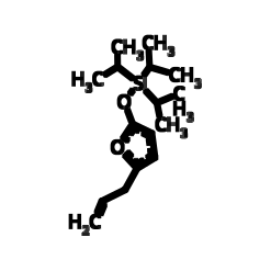 C=CCc1ccc(O[Si](C(C)C)(C(C)C)C(C)C)o1